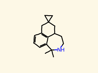 CC1(C)NCCC2CC3(CC3)Cc3cccc1c32